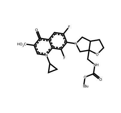 CC(C)(C)OC(=O)NCC12CN(c3c(F)cc4c(=O)c(C(=O)O)cn(C5CC5)c4c3F)CC1CCO2